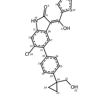 Cc1ccc(C(O)=C2C(=O)Nc3cc(Cl)c(-c4ccc(C5(CO)CC5)cc4)cc32)s1